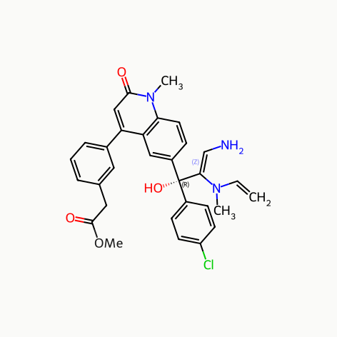 C=CN(C)/C(=C\N)[C@@](O)(c1ccc(Cl)cc1)c1ccc2c(c1)c(-c1cccc(CC(=O)OC)c1)cc(=O)n2C